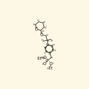 CCOP(=O)(Cc1ccc(C(C)(C)COC2CCCCO2)cc1)OCC